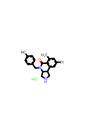 CCc1cc(C)c2c(c1)C1CNCC1N(Cc1ccc(C#N)cc1)C2=O.Cl